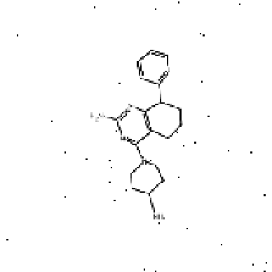 Nc1nc2c(c(N3CCC(N)CC3)n1)CCCC2c1ccccc1